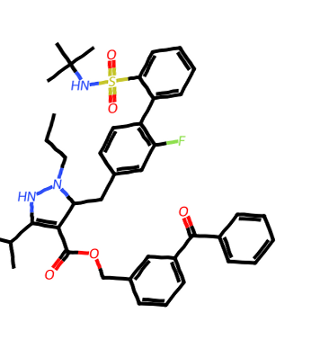 CCCN1NC(C(C)C)=C(C(=O)OCc2cccc(C(=O)c3ccccc3)c2)C1Cc1ccc(-c2ccccc2S(=O)(=O)NC(C)(C)C)c(F)c1